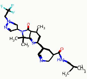 CC(C)CNC(=O)C1CN=CC(C2CC(C)C3C(=O)N(C4C=NN(CC(F)(F)F)C4)C(C)(C)C3=N2)C1